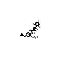 O=C(N[C@H]1CCN(CC2CC2)C[C@@H]1C(=O)O)c1cc(-c2c(F)cc(F)cc2F)on1